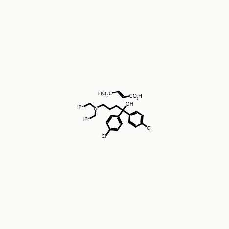 CC(C)CN(CCCC(O)(c1ccc(Cl)cc1)c1ccc(Cl)cc1)CC(C)C.O=C(O)C=CC(=O)O